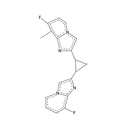 Cc1c(F)ccn2cc(C3CC3c3cn4cccc(F)c4n3)nc12